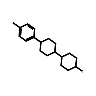 Cc1ccc(C2CCC(C3CCC(I)CC3)CC2)cc1